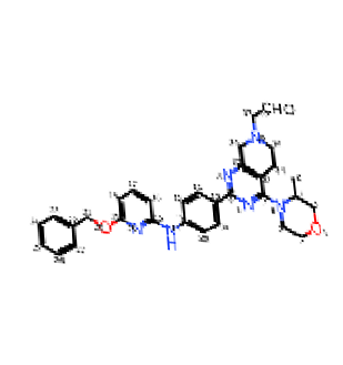 C[C@H]1COCCN1c1nc(-c2ccc(Nc3cccc(OCc4ccccc4)n3)cc2)nc2c1CCN(CC=O)C2